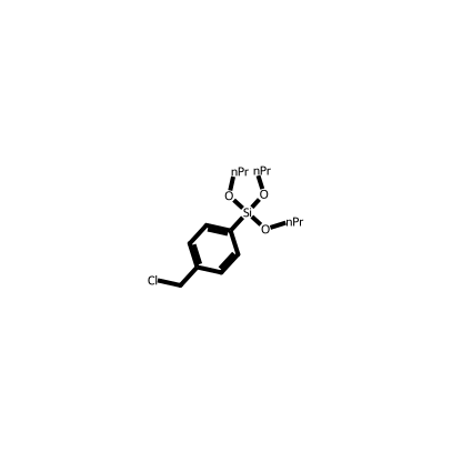 CCCO[Si](OCCC)(OCCC)c1ccc(CCl)cc1